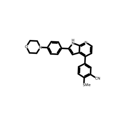 CSc1ccc(-c2ccnc3[nH]c(-c4ccc(N5CCOCC5)cc4)cc23)cc1C#N